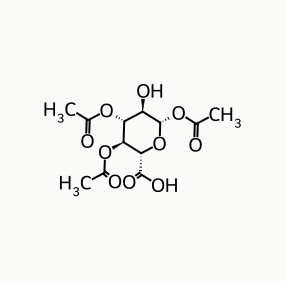 CC(=O)O[C@@H]1O[C@H](C(=O)O)[C@@H](OC(C)=O)[C@H](OC(C)=O)[C@H]1O